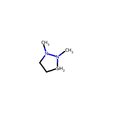 CN1CC[SiH2]N1C